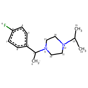 [CH2]C(c1ccc(F)cc1)N1CCN(C(C)C)CC1